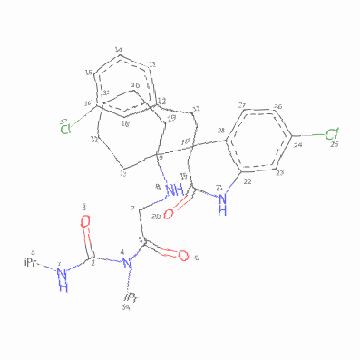 CC(C)NC(=O)N(C(=O)CNC1(C2(Cc3cccc(Cl)c3)C(=O)Nc3cc(Cl)ccc32)CCCCC1)C(C)C